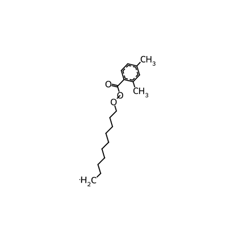 [CH2]CCCCCCCCCOOC(=O)c1ccc(C)cc1C